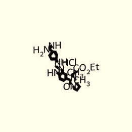 CCOC(=O)CCN(C)C(C(=O)N1CCCC1)c1ccc2[nH]c(CNc3ccc(C(=N)N)cc3)nc2c1C.Cl